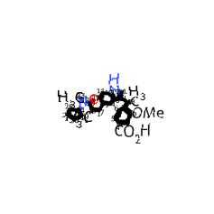 COc1cc(C(=O)O)ccc1C(C)c1c[nH]c2ccc(CC(C)C(=O)N(C)C3CCCC3)cc12